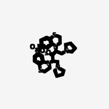 O=C(C(CN1CCCC1)N1CCSc2ccc([N+](=O)[O-])cc21)C(CN1CCCC1)N1CCSc2ccc([N+](=O)[O-])cc21